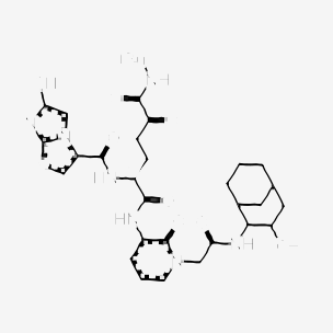 Cc1cn2c(C(=O)N[C@@H](CCC(=O)C(=O)NC(C)(C)C)C(=O)Nc3cccn(CC(=O)NC4C(C)CC5CCCC4C5)c3=O)csc2n1